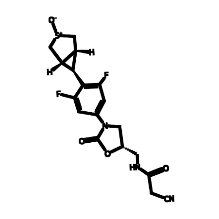 N#CCC(=O)NC[C@H]1CN(c2cc(F)c([C@H]3[C@@H]4C[S+]([O-])C[C@@H]43)c(F)c2)C(=O)O1